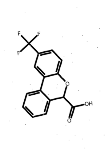 O=C(O)C1Oc2ccc(C(F)(F)F)cc2-c2ccccc21